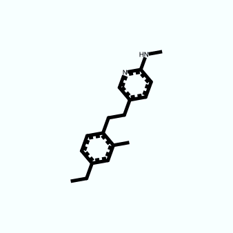 CCc1ccc(CCc2ccc(NC)nc2)c(C)c1